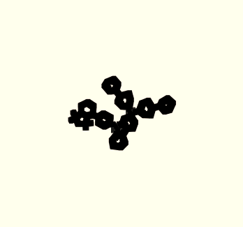 CC1(C)CC(C)(C)C2CC=CC(c3ccc(-n4c5ccccc5c5ccc(N(c6ccc(-c7ccccc7)cc6)c6ccc(-c7ccccc7)cc6)cc54)cc3)=C21